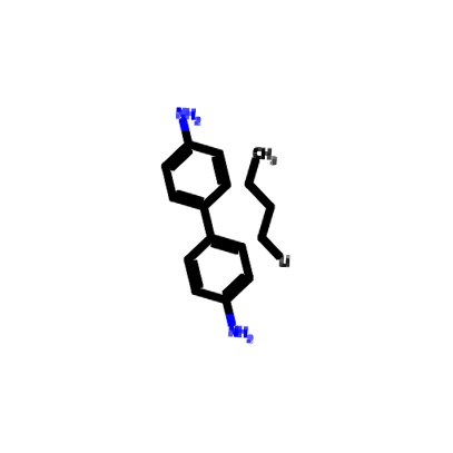 Nc1ccc(-c2ccc(N)cc2)cc1.[Li][CH2]CCC